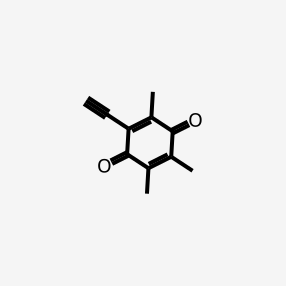 C#CC1=C(C)C(=O)C(C)=C(C)C1=O